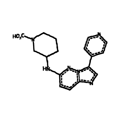 O=C(O)N1CCCC(Nc2ccc3ncc(-c4ccncc4)n3n2)C1